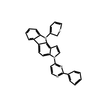 C1=CCCC(n2c3ccccc3c3ccc4c(ccn4-c4ccnc(-c5ccccc5)n4)c32)=C1